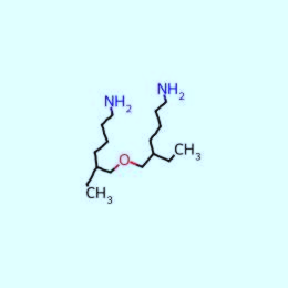 CCC(CCCCN)COCC(CC)CCCCN